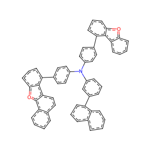 c1cc(-c2cccc3ccccc23)cc(N(c2ccc(-c3cccc4oc5ccccc5c34)cc2)c2ccc(-c3cccc4oc5c6ccccc6ccc5c34)cc2)c1